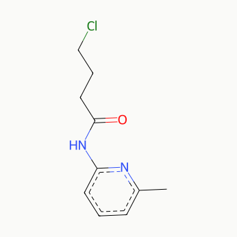 Cc1cccc(NC(=O)CCCCl)n1